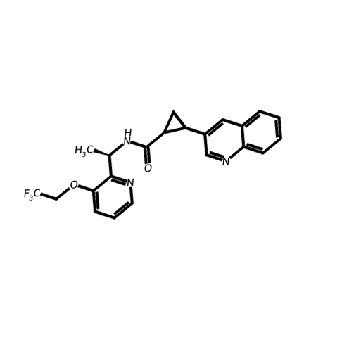 C[C@@H](NC(=O)C1CC1c1cnc2ccccc2c1)c1ncccc1OCC(F)(F)F